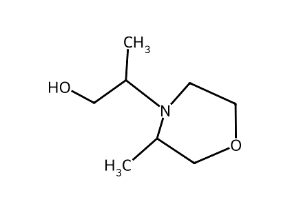 CC(CO)N1CCOCC1C